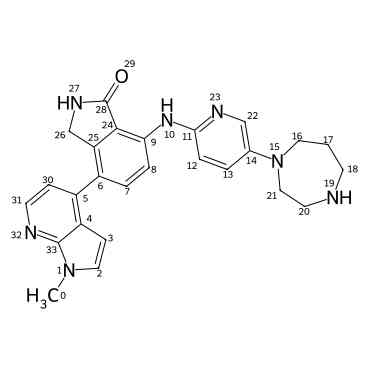 Cn1ccc2c(-c3ccc(Nc4ccc(N5CCCNCC5)cn4)c4c3CNC4=O)ccnc21